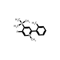 Cc1ccccc1-c1cc([Si](C)(C)C)c(F)c[n+]1C